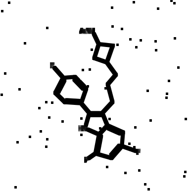 CC(=O)NC1CC(CCCc2c(-c3ccc(F)cc3)[nH]c3c(F)cc(F)cc23)C1